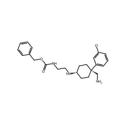 NC[C@]1(c2cccc(Cl)c2)CC[C@H](NCCNC(=O)OCc2ccccc2)CC1